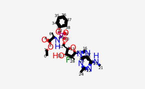 CCOC(=O)[C@@H](C)NP(=O)(OC[C@H]1O[C@@H](n2cnc3c(NC)nc(C)nc32)[C@](C)(F)[C@@H]1O)Oc1ccccc1